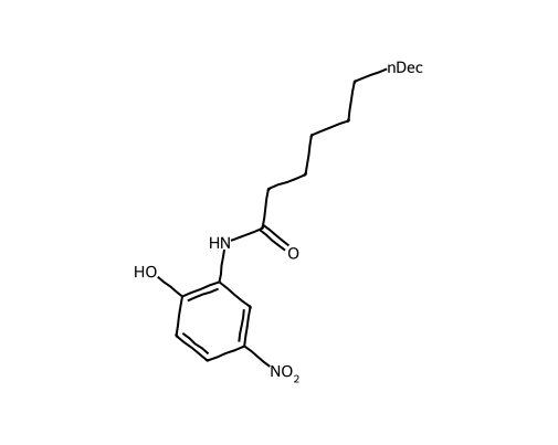 CCCCCCCCCCCCCCCC(=O)Nc1cc([N+](=O)[O-])ccc1O